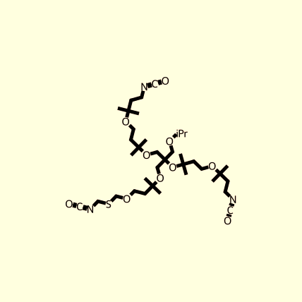 CC(C)OCC(COC(C)(C)CCOCSCN=C=O)(COC(C)(C)CCOC(C)(C)CCN=C=O)OC(C)(C)CCOC(C)(C)CCN=C=O